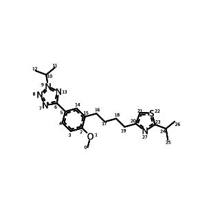 COc1ccc(-c2nnn(C(C)C)n2)cc1CCCCc1csc(C(C)C)n1